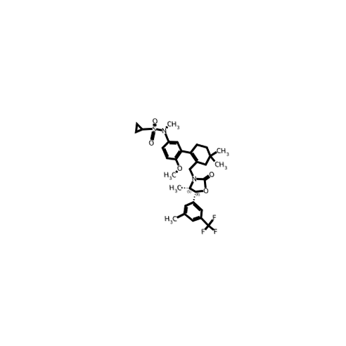 COc1ccc(N(C)S(=O)(=O)C2CC2)cc1C1=C(CN2C(=O)O[C@H](c3cc(C)cc(C(F)(F)F)c3)[C@@H]2C)CC(C)(C)CC1